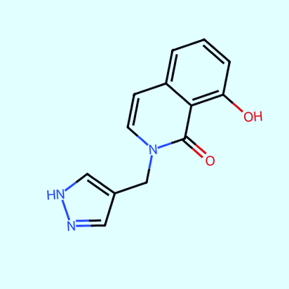 O=c1c2c(O)cccc2ccn1Cc1cn[nH]c1